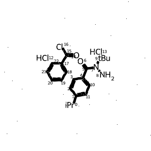 CC(C)c1ccc(C(=O)N(N)C(C)(C)C)cc1.Cl.Cl.O=C(Cl)c1ccccc1